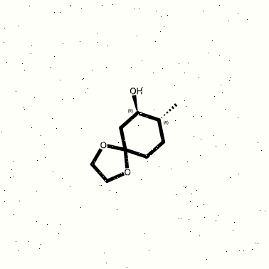 C[C@@H]1CCC2(C[C@H]1O)OCCO2